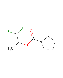 O=C(OC(C(F)F)C(F)(F)F)C1CCCC1